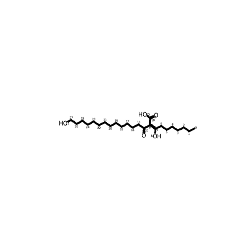 CCCCCCCC(O)=C(C(=O)O)C(=O)CCCCCCCCCCCCCO